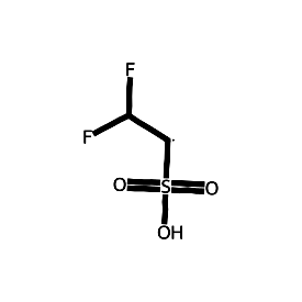 O=S(=O)(O)[CH]C(F)F